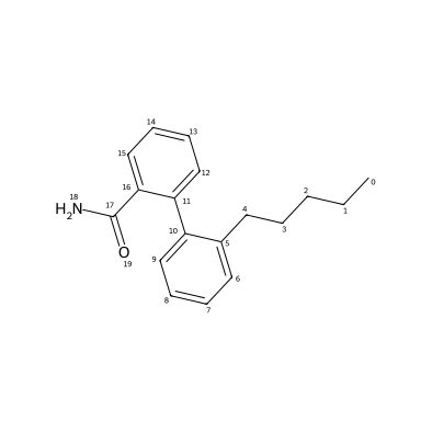 CCCCCc1ccccc1-c1ccccc1C(N)=O